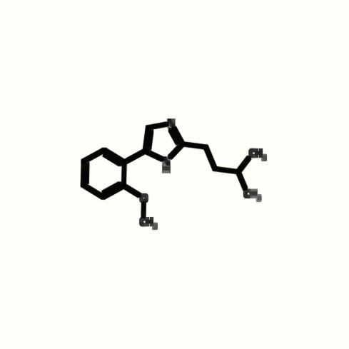 COc1ccccc1-c1cnc(CCC(C)C)[nH]1